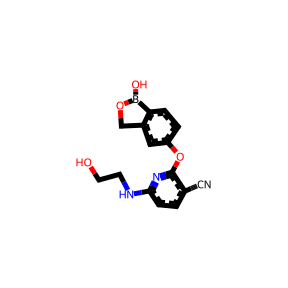 N#Cc1ccc(NCCO)nc1Oc1ccc2c(c1)COB2O